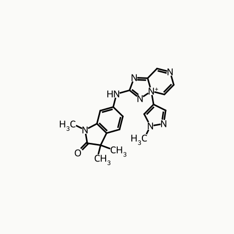 CN1C(=O)C(C)(C)c2ccc(NC3=N[N+]4(c5cnn(C)c5)C=CN=CC4=N3)cc21